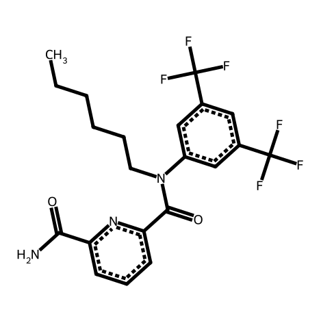 CCCCCCN(C(=O)c1cccc(C(N)=O)n1)c1cc(C(F)(F)F)cc(C(F)(F)F)c1